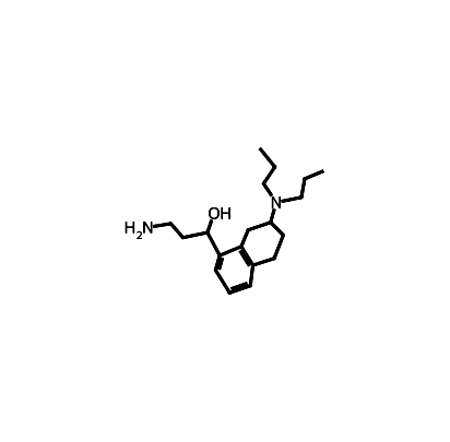 CCCN(CCC)C1CCc2cccc(C(O)CCN)c2C1